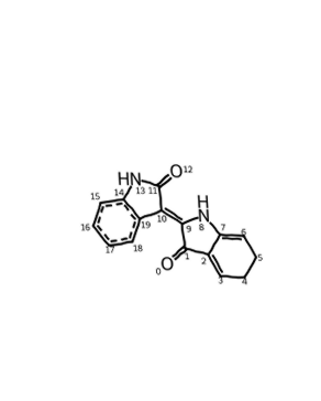 O=C1C2=CCCC=C2N/C1=C1\C(=O)Nc2ccccc21